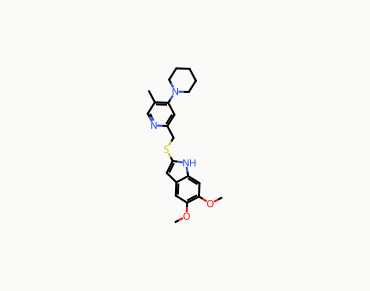 COc1cc2cc(SCc3cc(N4CCCCC4)c(C)cn3)[nH]c2cc1OC